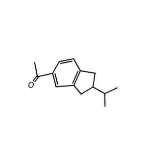 CC(=O)c1ccc2c(c1)CC(C(C)C)C2